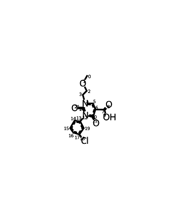 COCCn1cc(C(=O)O)c(=O)n(-c2cccc(Cl)c2)c1=O